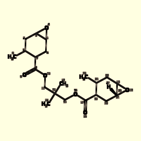 CC1CC2OC2CC1C(=O)OCC(C)(C)COC(=O)C1C[C@H]2OC2CC1C